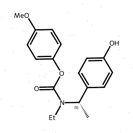 CCN(C(=O)Oc1ccc(OC)cc1)[C@@H](C)c1ccc(O)cc1